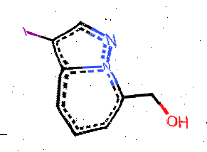 OCc1cccc2c(I)cnn12